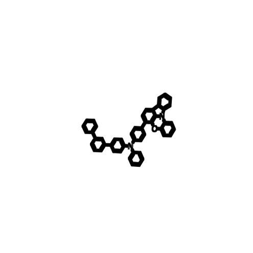 c1ccc(-c2cccc(-c3ccc(N(c4ccccc4)c4ccc(-c5ccc6c7ccccc7n7c6c5Oc5ccccc5-7)cc4)cc3)c2)cc1